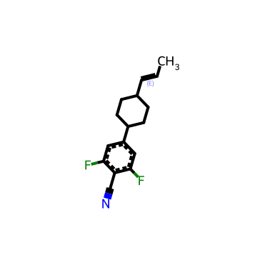 C/C=C/C1CCC(c2cc(F)c(C#N)c(F)c2)CC1